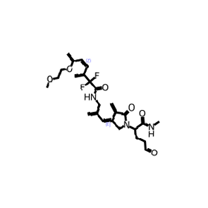 C=C(/C=C1/CN(C(CCC=O)C(=O)NC)C(=O)C1=C)CNC(=O)C(F)(F)C(=C)/C=C\C(=C)OCCOC